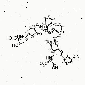 N#Cc1cncc(COc2cc(OCc3cccc(-c4cccc5c4cnn5Cc4ccc(CN[C@@H](CO)C(=O)O)cc4Cl)c3Br)c(Cl)cc2CN[C@@H](CO)C(=O)O)c1